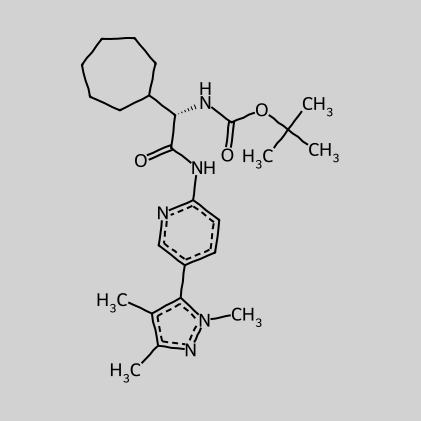 Cc1nn(C)c(-c2ccc(NC(=O)[C@@H](NC(=O)OC(C)(C)C)C3CCCCCC3)nc2)c1C